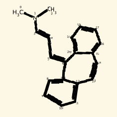 CN(C)C=CC=C1c2ccccc2C=Cc2ccccc21